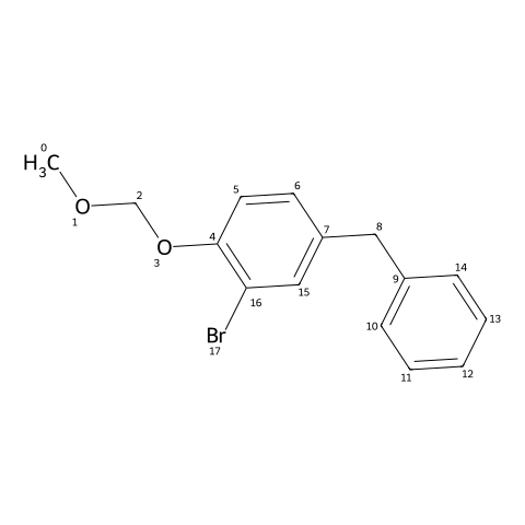 COCOc1ccc(Cc2ccccc2)cc1Br